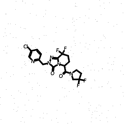 O=C(C1CCC(F)(F)c2nn(Cc3ccc(Cl)cn3)c(=O)n21)N1CCC(F)(F)C1